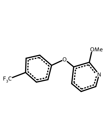 COc1ncccc1Oc1ccc(C(F)(F)F)cc1